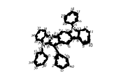 c1ccc(-c2c3cc4c5ccccc5n(-c5ccccc5)c4cc3n3c4ccccc4n(-c4ccccc4)c23)cc1